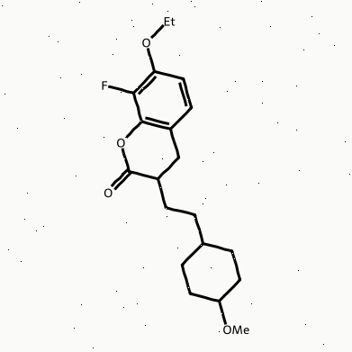 CCOc1ccc2c(c1F)OC(=O)C(CCC1CCC(OC)CC1)C2